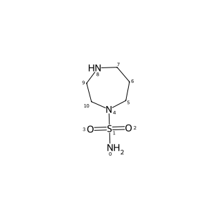 NS(=O)(=O)N1CCCNCC1